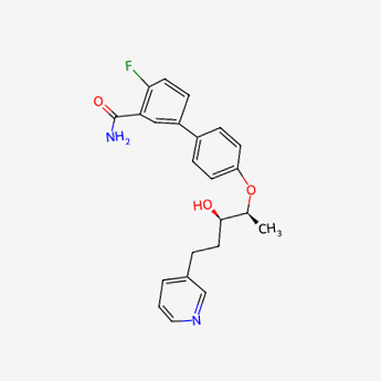 C[C@H](Oc1ccc(-c2ccc(F)c(C(N)=O)c2)cc1)[C@H](O)CCc1cccnc1